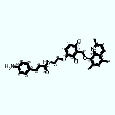 Cc1ccc2c(C)cc(C)c(OCc3c(Cl)ccc(OCCNC(=O)/C=C/c4ccc(N)cc4)c3Cl)c2n1